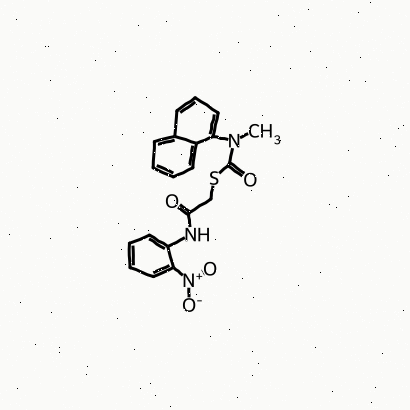 CN(C(=O)SCC(=O)Nc1ccccc1[N+](=O)[O-])c1cccc2ccccc12